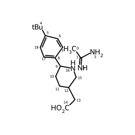 CC(=N)N.CC(C)(C)c1ccc(C2CCC(CC(=O)O)CN2)cc1